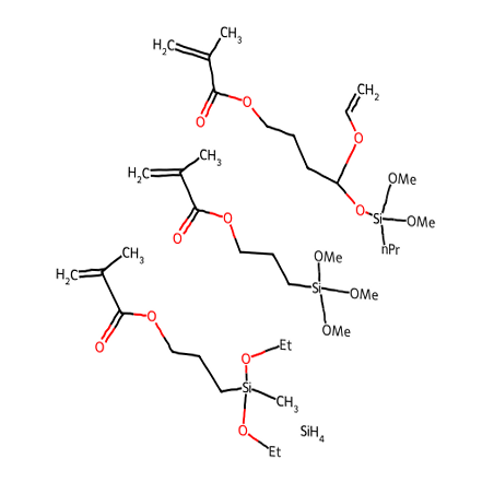 C=C(C)C(=O)OCCC[Si](C)(OCC)OCC.C=C(C)C(=O)OCCC[Si](OC)(OC)OC.C=COC(CCCOC(=O)C(=C)C)O[Si](CCC)(OC)OC.[SiH4]